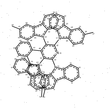 Cc1ccc2c(c1)c1ccccc1n2-c1nc(-n2c3ccccc3c3cc(C)ccc32)c(-n2c3ccccc3c3cc(C)ccc32)c(-c2ccccc2-c2nc3ccccc3s2)c1-n1c2ccccc2c2cc(C)ccc21